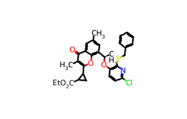 CCOC(=O)C1CC1c1oc2c([C@@H](C)Oc3ccc(Cl)nc3SCc3ccccc3)cc(C)cc2c(=O)c1C